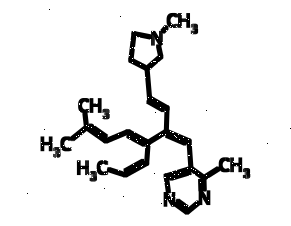 C\C=C/C(=C\C=C(C)C)C(=C\c1cncnc1C)/C=C/C1CCN(C)C1